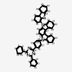 c1ccc(-c2nc(-c3ccccc3)nc(-c3ccc(-n4c5ccccc5c5c6c7ccccc7n(-c7cccc8c7sc7ccccc78)c6ccc54)cc3)n2)cc1